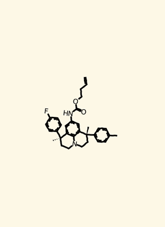 C=CCCOC(=O)Nc1cc2c3c(c1)[C@](C)(c1ccc(F)cc1)CCN3CC[C@@]2(C)c1ccc(C)cc1